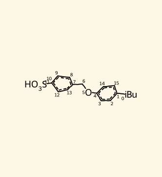 CCC(C)c1ccc(OCc2ccc(S(=O)(=O)O)cc2)cc1